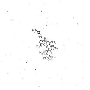 NC[C@@H]1O[C@H](O[C@H]2[C@@H](O)[C@H](O[C@@H]3[C@@H](O)[C@H](N)C[C@H](N)[C@H]3O[C@H]3OC(CNCC4CC(N)C4)=CC[C@H]3N)O[C@@H]2CO)[C@H](N)[C@@H](O)[C@@H]1O